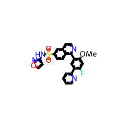 COc1cc(F)c(-c2ccccn2)cc1-c1nccc2cc(S(=O)(=O)Nc3ccon3)ccc12